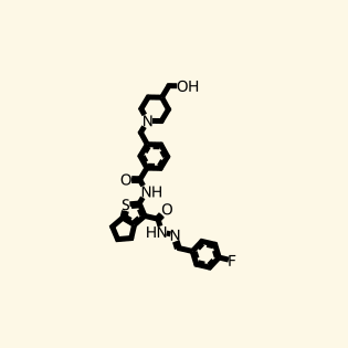 O=C(Nc1sc2c(c1C(=O)NN=Cc1ccc(F)cc1)CCC2)c1cccc(CN2CCC(CO)CC2)c1